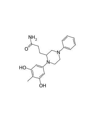 Cc1c(O)cc(N2CCN(c3ccccc3)CC2CCC(N)=O)cc1O